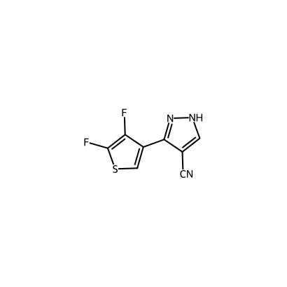 N#Cc1c[nH]nc1-c1csc(F)c1F